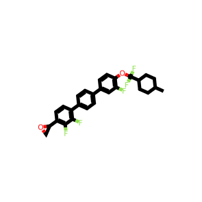 CC1CCC(C(F)(F)Oc2ccc(-c3ccc(-c4ccc(C5CO5)c(F)c4F)cc3)cc2F)CC1